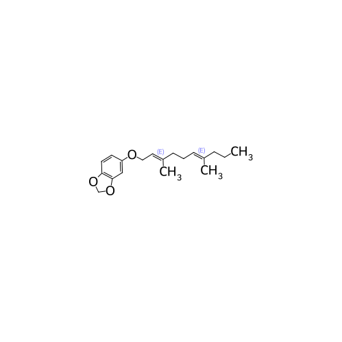 CCC/C(C)=C/CC/C(C)=C/COc1ccc2c(c1)OCO2